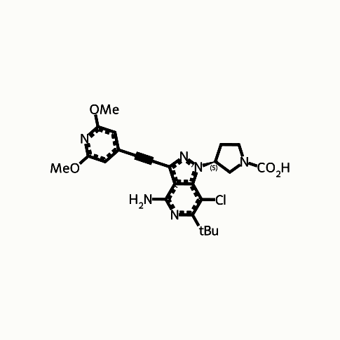 COc1cc(C#Cc2nn([C@H]3CCN(C(=O)O)C3)c3c(Cl)c(C(C)(C)C)nc(N)c23)cc(OC)n1